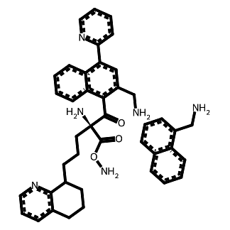 NCc1cc(-c2ccccn2)c2ccccc2c1C(=O)[C@@](N)(CCCC1CCCc2cccnc21)C(=O)ON.NCc1cccc2ccccc12